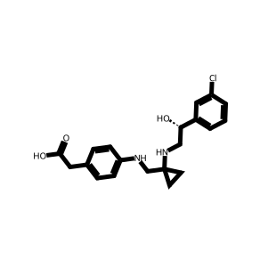 O=C(O)Cc1ccc(NCC2(NC[C@H](O)c3cccc(Cl)c3)CC2)cc1